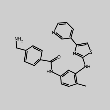 Cc1ccc(NC(=O)c2ccc(CN)cc2)cc1Nc1nc(-c2cccnc2)cs1